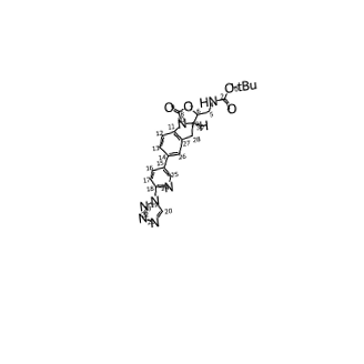 CC(C)(C)OC(=O)NCC1OC(=O)N2c3ccc(-c4ccc(-n5cnnn5)nc4)cc3C[C@@H]12